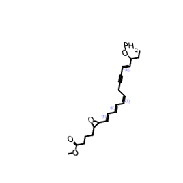 CCC(/C=C/C#CC\C=C/C=C/C=C/C1OC1CCCC(=O)OC)OP